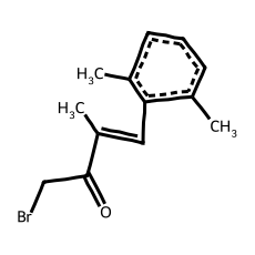 C/C(=C\c1c(C)cccc1C)C(=O)CBr